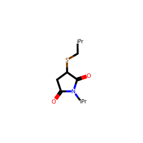 CC(C)CSC1CC(=O)N(C(C)C)C1=O